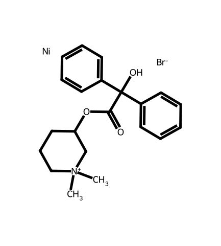 C[N+]1(C)CCCC(OC(=O)C(O)(c2ccccc2)c2ccccc2)C1.[Br-].[Ni]